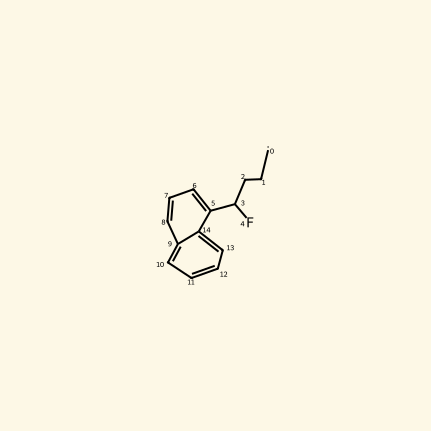 [CH2]CCC(F)c1cccc2ccccc12